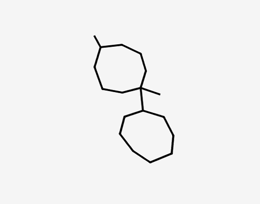 CC1CCCC(C)(C2CCCCCCC2)CCC1